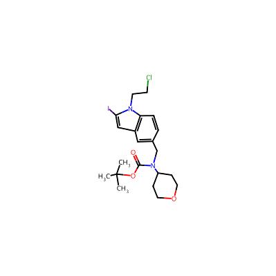 CC(C)(C)OC(=O)N(Cc1ccc2c(c1)cc(I)n2CCCl)C1CCOCC1